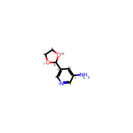 Nc1cncc(C2OCCO2)c1